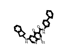 CCn1cc(C(=O)Nc2ccc(-c3ccccc3)cc2)c(=O)c2cc(NC3Cc4ccccc4C3)cnc21